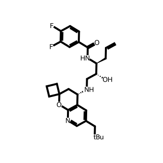 C=CC[C@H](NC(=O)c1ccc(F)c(F)c1)[C@H](O)CN[C@H]1CC2(CCC2)Oc2ncc(CC(C)(C)C)cc21